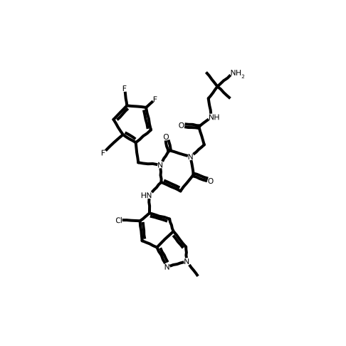 Cn1cc2cc(Nc3cc(=O)n(CC(=O)NCC(C)(C)N)c(=O)n3Cc3cc(F)c(F)cc3F)c(Cl)cc2n1